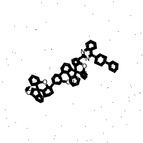 N#Cc1cc(-c2cccc3c2Oc2ccccc2C32c3ccccc3-c3ccccc32)ccc1-c1cccc2c1-c1ccccc1C21c2ccccc2Oc2c(-c3nc(-c4ccc(-c5ccccc5)cc4)c4ccccc4n3)cccc21